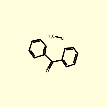 CCl.O=C(c1ccccc1)c1ccccc1